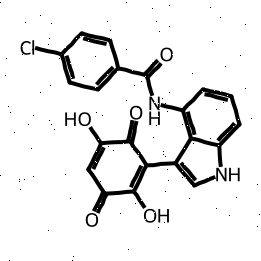 O=C1C=C(O)C(=O)C(c2c[nH]c3cccc(NC(=O)c4ccc(Cl)cc4)c23)=C1O